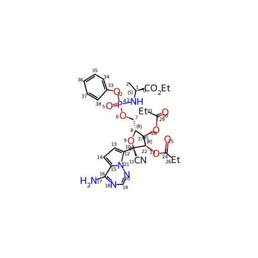 CCOC(=O)[C@H](C)NP(=O)(OC[C@H]1O[C@@](C#N)(c2ccc3c(N)ncnn23)[C@H](OC(=O)CC)[C@@H]1OC(=O)CC)Oc1ccccc1